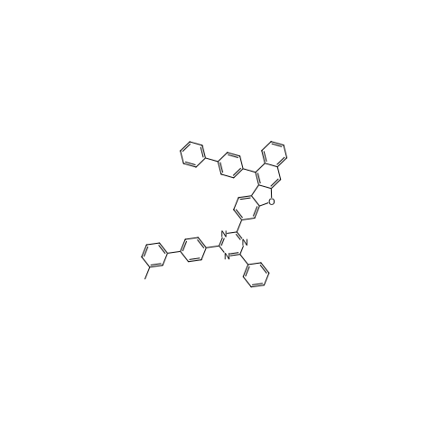 Cc1cccc(-c2ccc(-c3nc(-c4ccccc4)nc(-c4ccc5c(c4)oc4cc6ccccc6c(-c6ccc(-c7ccccc7)cc6)c45)n3)cc2)c1